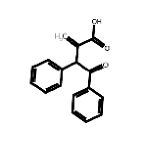 C=C(C(=O)O)C(C(=O)c1ccccc1)c1ccccc1